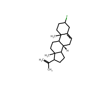 C=C(C)C1CCC2[C@H]3CC=C4CC(F)CCC4(C)C3CCC12C